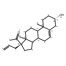 C=CC[C@]1(C(C)=O)CCC2C3CC=C4C[C@@H](O)CCC4(C)C3CCC21C